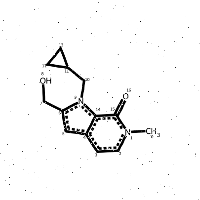 Cn1ccc2cc(CO)n(CC3CC3)c2c1=O